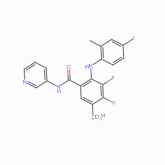 Cc1cc(I)ccc1Nc1c(C(=O)Nc2cccnc2)cc(C(=O)O)c(F)c1F